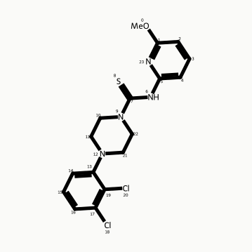 COc1cccc(NC(=S)N2CCN(c3cccc(Cl)c3Cl)CC2)n1